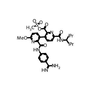 COc1ccc(-c2ccc(C(=O)NC(C(C)C)C(C)C)nc2C(=O)OS(C)(=O)=O)c(C(=O)Nc2ccc(C(=N)N)cc2)n1